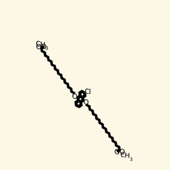 COC(=O)CCCCCCCCCCCCCCCCCCCCOc1c2ccccc2c(OCCCCCCCCCCCCCCCCCCCCC(=O)OC)c2cc(Cl)ccc12